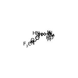 N=C(N1CCC(Cc2nc(C(F)(F)F)co2)CC1)N1CC2(CC(c3nnc(C4(O)CC4)[nH]3)C2)C1